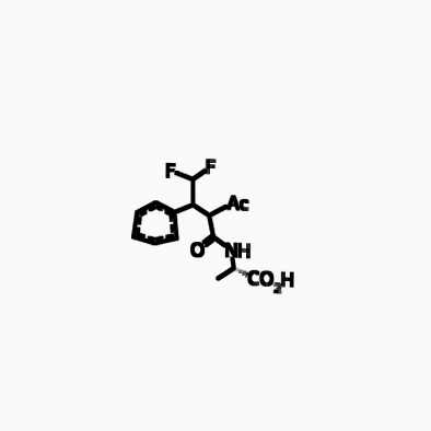 CC(=O)C(C(=O)N[C@@H](C)C(=O)O)C(c1ccccc1)C(F)F